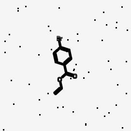 C=COC(=O)c1ccc(Br)cc1